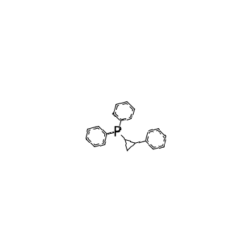 c1ccc(C2CC2P(c2ccccc2)c2ccccc2)cc1